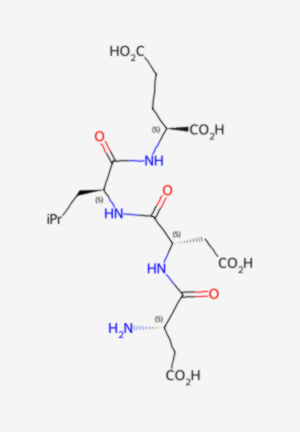 CC(C)C[C@H](NC(=O)[C@H](CC(=O)O)NC(=O)[C@@H](N)CC(=O)O)C(=O)N[C@@H](CCC(=O)O)C(=O)O